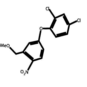 COCc1cc(Oc2ccc(Cl)cc2Cl)ccc1[N+](=O)[O-]